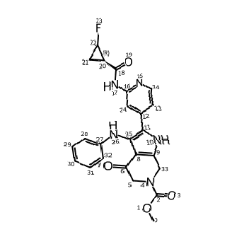 COC(=O)N1CC(=O)c2c([nH]c(-c3ccnc(NC(=O)[C@H]4CC4F)c3)c2Nc2ccccc2)C1